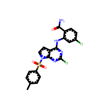 Cc1ccc(S(=O)(=O)n2ccc3c(Nc4cc(Cl)ccc4C(N)=O)nc(Cl)nc32)cc1